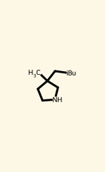 CCC(C)CC1(C)CCNC1